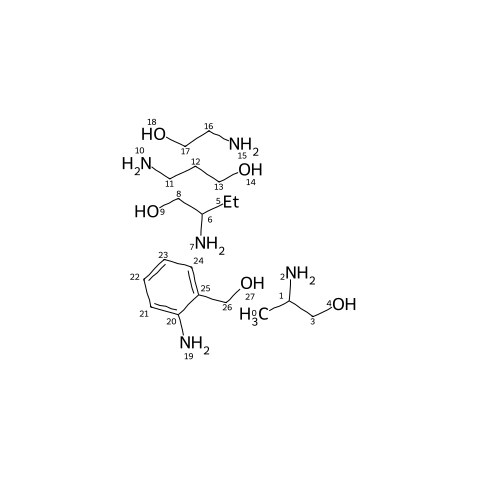 CC(N)CO.CCC(N)CO.NCCCO.NCCO.Nc1ccccc1CO